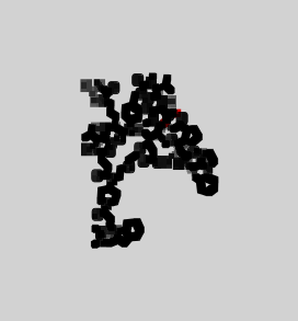 CC[C@H](C)[C@@H]([C@@H](CC(=O)C1CCC[C@H]1[C@H](OC)[C@@H](C)C(=O)N[C@@H](Cc1ccccc1)c1nccs1)OC)N(C)C(=O)[C@@H](NC(=O)[C@H](C(C)C)N(C)C(=O)OCc1ccc(NC(=O)[C@H](CCCNC(N)=O)NC(=O)[C@@H](NC(=O)CCC(=O)N(CCOCCOCCC(=O)O)C2CCN(C(=O)CCn3c(CN(C)NC)cc4ccccc43)CC2)C(C)C)cc1)C(C)C